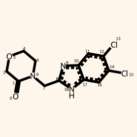 O=C1COCCN1Cc1nc2cc(Cl)c(Cl)cc2[nH]1